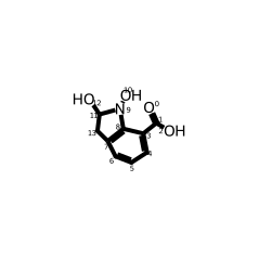 O=C(O)c1cccc2c1N(O)C(O)C2